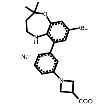 CC1(C)CCNc2c(cc(C(C)(C)C)cc2-c2cccc(N3CC(C(=O)[O-])C3)c2)O1.[Na+]